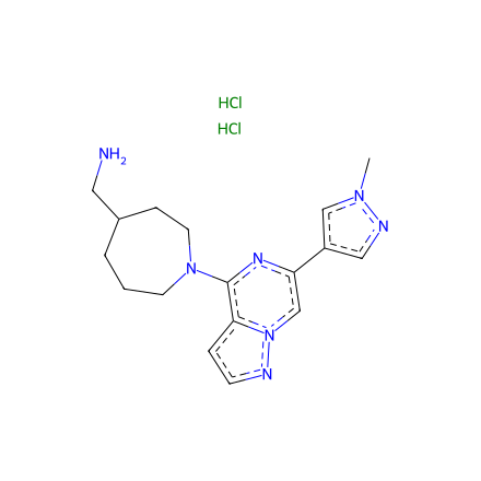 Cl.Cl.Cn1cc(-c2cn3nccc3c(N3CCCC(CN)CC3)n2)cn1